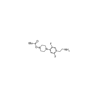 CC(C)(C)C(=O)ON1CCN(c2cc(F)c(CCN)cc2F)CC1